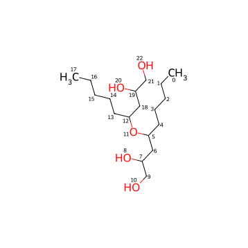 CCCCCC(CC(O)CO)OC(CCCCC)CC(O)CO